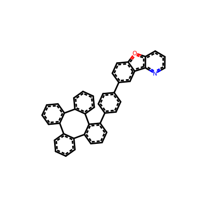 c1ccc2c(c1)-c1ccccc1-c1cccc(-c3ccc(-c4ccc5oc6cccnc6c5c4)cc3)c1-c1ccccc1-2